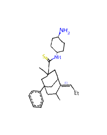 CC/C=C1\C(C)CC2(c3ccccc3)CC1CC(C)(C(=S)N[C@H]1CC[C@H](N)CC1)C2